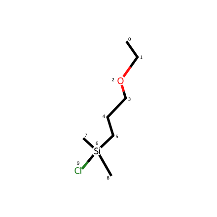 CCOCCC[Si](C)(C)Cl